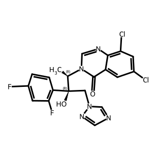 C[C@@H](n1cnc2c(Cl)cc(Cl)cc2c1=O)[C@](O)(Cn1cncn1)c1ccc(F)cc1F